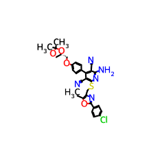 CCc1oc(-c2ccc(Cl)cc2)nc1CSc1nc(N)c(C#N)c(-c2ccc(OC[C@@H]3COC(C)(C)O3)cc2)c1C#N